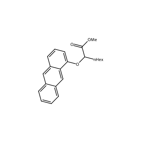 CCCCCCC(Oc1cccc2cc3ccccc3cc12)C(=O)OC